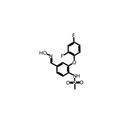 CS(=O)(=O)Nc1ccc(C=NO)cc1Oc1ccc(F)cc1F